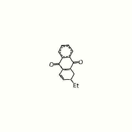 CCC1C=CC2=C(C1)C(=O)c1ccccc1C2=O